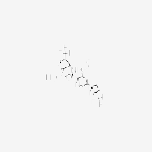 CCSc1cc(-n2ccc(C(F)(F)F)n2)cnc1C(=O)Nc1cc(C(F)(F)F)cnc1NC